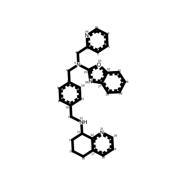 c1ccc(CN(Cc2ccc(CNC3CCCc4cccnc43)cc2)c2nc3ccccc3o2)nc1